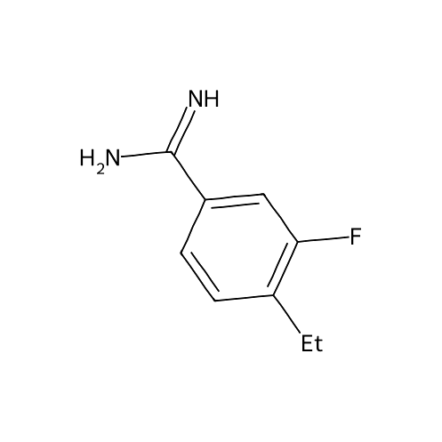 CCc1ccc(C(=N)N)cc1F